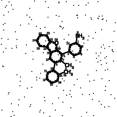 Bc1cccc(-c2c(C)c(-c3ccccc3C)cc3c2oc2ccccc23)c1